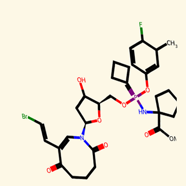 COC(=O)C1(NP(OC[C@H]2O[C@@H](N3/C=C(/C=C/Br)C(=O)CCCC3=O)CC2O)(OC2=CC(C)C(F)C=C2)=C2CCC2)CCCC1